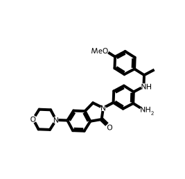 COc1ccc(C(C)Nc2ccc(N3Cc4cc(N5CCOCC5)ccc4C3=O)cc2N)cc1